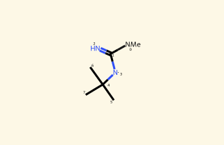 CNC(=N)[N]C(C)(C)C